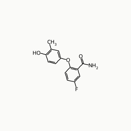 Cc1cc(Oc2ccc(F)cc2C(N)=O)ccc1O